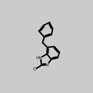 Clc1nc2cccc(Cc3ccccc3)c2[nH]1